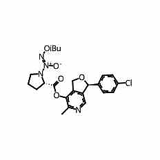 Cc1ncc2c(c1OC(=O)[C@@H]1CCCN1[N+]([O-])=NOCC(C)C)CO[C@H]2c1ccc(Cl)cc1